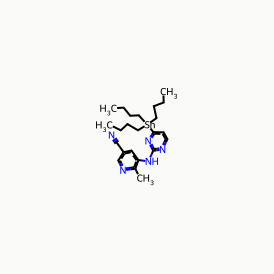 CCC[CH2][Sn]([CH2]CCC)([CH2]CCC)[c]1ccnc(Nc2cc(C#N)cnc2C)n1